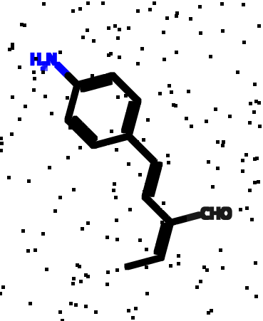 C/C=C(C=O)\C=C\c1ccc(N)cc1